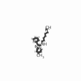 C#[N+]CCCCCCNc1c(-c2ccccn2)nc2cc(C)ccn12